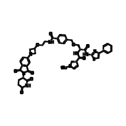 CC(C)(C)n1ccc(C(=O)N[C@@H](COCc2ccc(C(=O)NCCOC3CN(c4ccc5c(c4)C(=O)N(C4CCC(=O)NC4=O)C5=O)C3)cc2)C(=O)Nc2nc(-c3ccccc3)cs2)c1